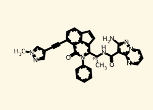 C[C@@H](NC(=O)c1c(N)nn2cccnc12)c1c2c3c(ccc(C#Cc4cnn(C)c4)c3c(=O)n1-c1ccccc1)C=C2